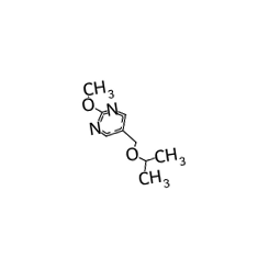 COc1ncc(COC(C)C)cn1